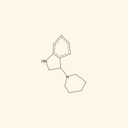 c1ccc2c(c1)NCC2N1CCCCC1